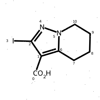 O=C(O)c1c(I)nn2c1CCCC2